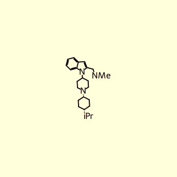 CNCc1cc2ccccc2n1C1CCN([C@H]2CC[C@@H](C(C)C)CC2)CC1